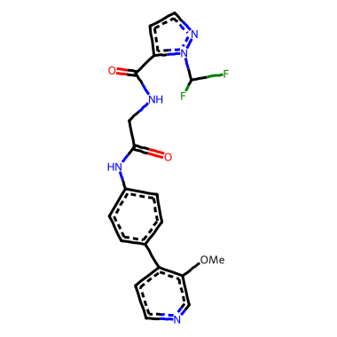 COc1cnccc1-c1ccc(NC(=O)CNC(=O)c2ccnn2C(F)F)cc1